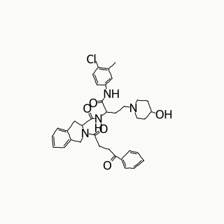 Cc1cc(NC(=O)C(CCN2CCC(O)CC2)NC(=O)C2Cc3ccccc3CN2C(=O)CCC(=O)c2ccccc2)ccc1Cl